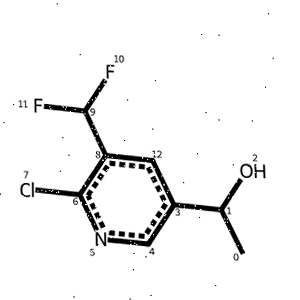 CC(O)c1cnc(Cl)c(C(F)F)c1